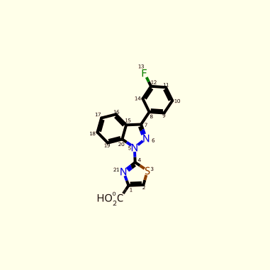 O=C(O)c1csc(-n2nc(-c3cccc(F)c3)c3ccccc32)n1